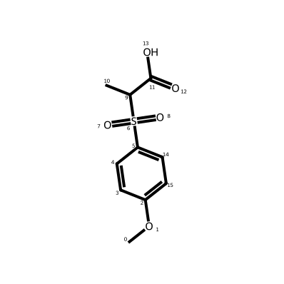 COc1ccc(S(=O)(=O)C(C)C(=O)O)cc1